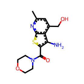 Cc1cc(CO)c2c(N)c(C(=O)N3CCOCC3)sc2n1